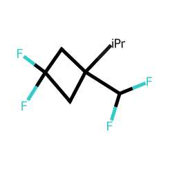 CC(C)C1(C(F)F)CC(F)(F)C1